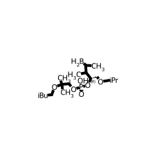 BC(C)C(C)[C@H](COC(C)C)OP(=O)(O)OCC(C)(C)OCC(C)CC